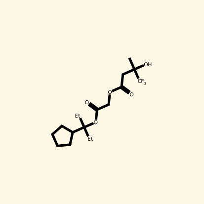 CCC(CC)(OC(=O)COC(=O)CC(C)(O)C(F)(F)F)C1CCCC1